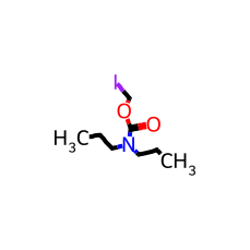 CCCN(CCC)C(=O)OCI